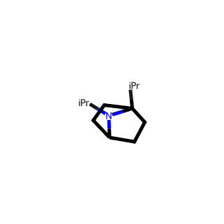 CC(C)N1C2CCC1(C(C)C)CC2